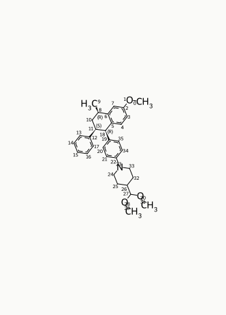 COc1ccc2c(c1)[C@H](C)C[C@H](c1ccccc1)[C@@H]2c1ccc(N2CCC(C(OC)OC)CC2)cc1